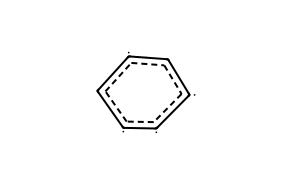 [c]1[c]c[c]c[c]1